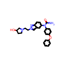 NC(=O)N(c1ccc(Oc2ccccc2)cc1)c1ccc2nn(CCN3CCC(O)C3)cc2c1